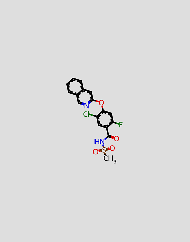 CS(=O)(=O)NC(=O)c1cc(Cl)c(Oc2cc3ccccc3cn2)cc1F